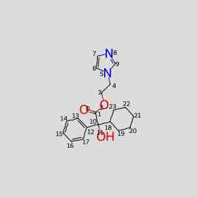 O=C(OCCn1ccnc1)C(O)(c1ccccc1)C1CCCCC1